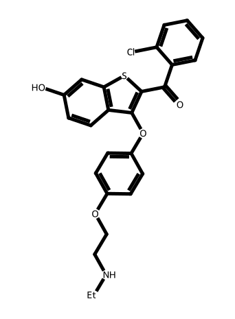 CCNCCOc1ccc(Oc2c(C(=O)c3ccccc3Cl)sc3cc(O)ccc23)cc1